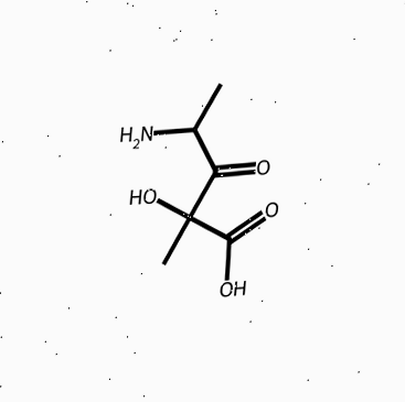 CC(N)C(=O)C(C)(O)C(=O)O